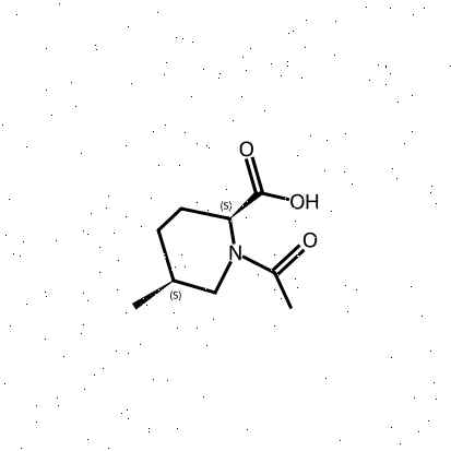 CC(=O)N1C[C@@H](C)CC[C@H]1C(=O)O